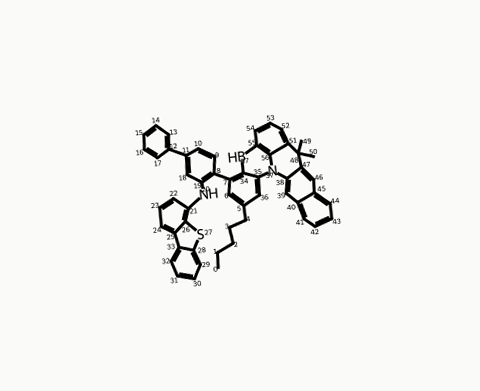 CCCCCc1cc(-c2ccc(-c3ccccc3)cc2Nc2cccc3c2sc2ccccc23)c2c(c1)N1c3cc4ccccc4cc3C(C)(C)c3cccc(c31)B2